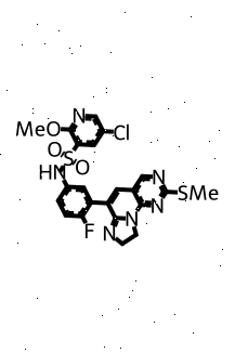 COc1ncc(Cl)cc1S(=O)(=O)Nc1ccc(F)c(C2=Cc3cnc(SC)nc3N3CCN=C23)c1